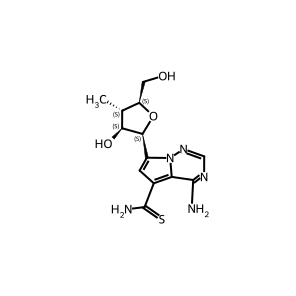 C[C@H]1[C@H](O)[C@H](c2cc(C(N)=S)c3c(N)ncnn23)O[C@@H]1CO